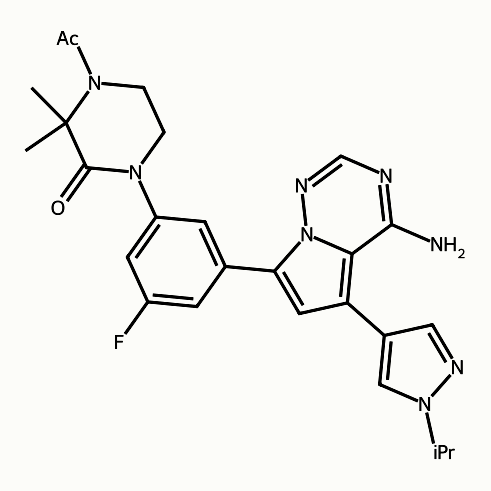 CC(=O)N1CCN(c2cc(F)cc(-c3cc(-c4cnn(C(C)C)c4)c4c(N)ncnn34)c2)C(=O)C1(C)C